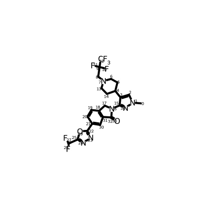 Cn1cc(C2CCN(CC(F)(F)C(F)(F)F)CC2)c(N2Cc3ccc(-c4nnc(C(F)F)o4)cc3C2=O)n1